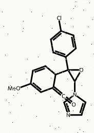 COC1=CC(=C=O)C(C2(c3ccc(Cl)cc3)OC2n2ccnc2)C=C1